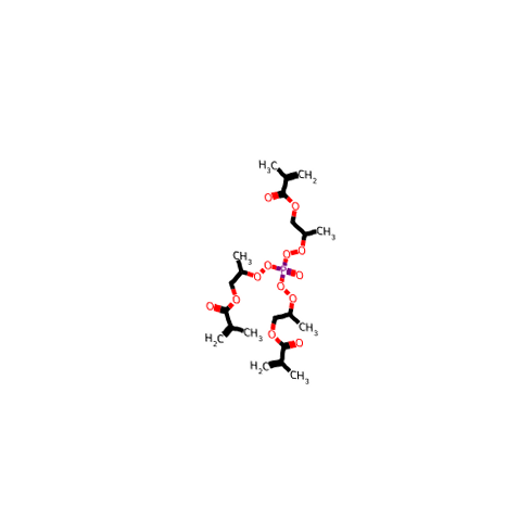 C=C(C)C(=O)OCC(C)OOP(=O)(OOC(C)COC(=O)C(=C)C)OOC(C)COC(=O)C(=C)C